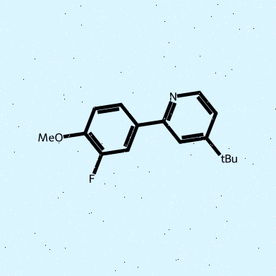 COc1ccc(-c2cc(C(C)(C)C)ccn2)cc1F